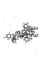 Cc1ccc(CNC(=O)C(Cc2cscn2)NC(=O)C(Cc2c[nH]c3ccccc23)NC(=O)[C@@H]2CCCCN2C(=O)C(CCC(=O)O)NC(=O)CCl)cc1